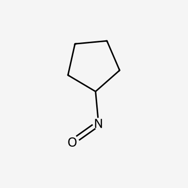 O=NC1CCCC1